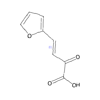 O=C(O)C(=O)/C=C/c1ccco1